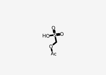 CC(=O)OCS(=O)(=O)O